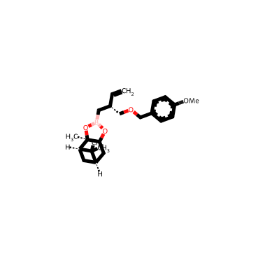 C=C[C@H](COCc1ccc(OC)cc1)CB1OC2C[C@H]3C[C@H](C3(C)C)[C@@]2(C)O1